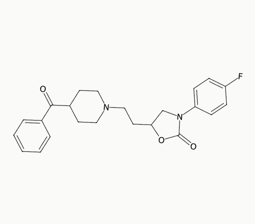 O=C(c1ccccc1)C1CCN(CCC2CN(c3ccc(F)cc3)C(=O)O2)CC1